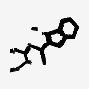 CONC(N)=NC(=O)c1cc2ccccc2[nH]1.Cl